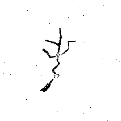 C#COCC[N+](CC)(CCC)C(C)CC